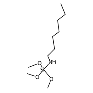 CCCCCCCN[Si](OC)(OC)OC